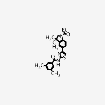 CCC(=O)N1CC(C)(C)c2cc(-c3csc(NC(=O)c4cc(C)cc(C)c4)n3)ccc21